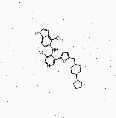 Cc1c(Nc2c(C#N)cncc2-c2ccc(CN3CCC(N4CCCC4)CC3)o2)ccc2[nH]ccc12